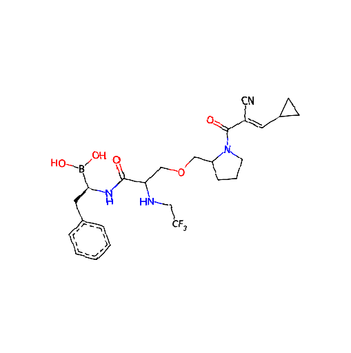 N#CC(=CC1CC1)C(=O)N1CCCC1COCC(NCC(F)(F)F)C(=O)N[C@@H](Cc1ccccc1)B(O)O